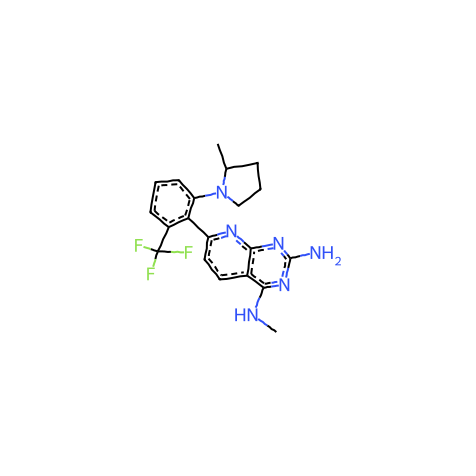 CNc1nc(N)nc2nc(-c3c(N4CCCC4C)cccc3C(F)(F)F)ccc12